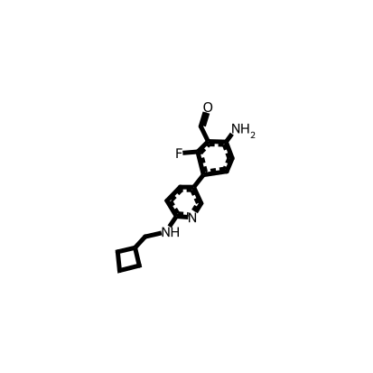 Nc1ccc(-c2ccc(NCC3CCC3)nc2)c(F)c1C=O